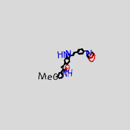 COc1ccc2c(c1)[C@]1(CC1c1ccc3c(/C=C/c4ccc(CN5CCOCC5)cc4)n[nH]c3c1)C(=O)N2